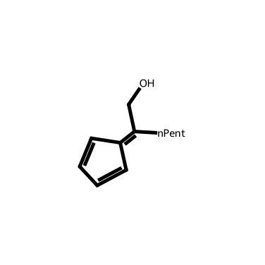 CCCCCC(CO)=C1C=CC=C1